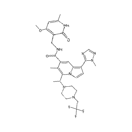 COc1cc(C)[nH]c(=O)c1CNC(=O)c1cc2c(-c3ncnn3C)ccn2c(C(C)N2CCN(CC(F)(F)F)CC2)c1C